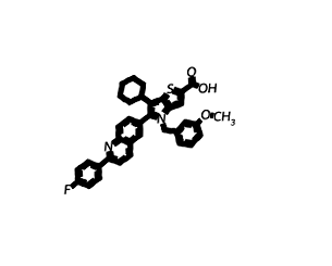 COc1cccc(Cn2c(-c3ccc4nc(-c5ccc(F)cc5)ccc4c3)c(C3CCCCC3)c3sc(C(=O)O)cc32)c1